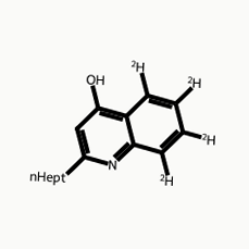 [2H]c1c([2H])c([2H])c2c(O)cc(CCCCCCC)nc2c1[2H]